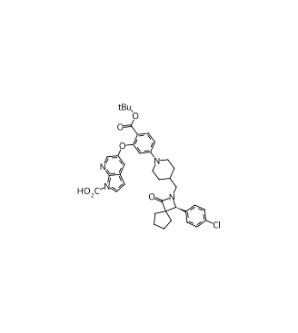 CC(C)(C)OC(=O)c1ccc(N2CCC(CN3C(=O)C4(CCCC4)[C@@H]3c3ccc(Cl)cc3)CC2)cc1Oc1cnc2c(ccn2C(=O)O)c1